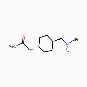 CCN(C[C@H]1CC[C@H](CC(=O)OC)CC1)C(C)C